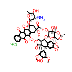 CC(=O)[C@]1(O)Cc2c(O)c3c(c(O)c2[C@@H](O[C@H]2C[C@H](N)[C@H](O)[C@H](C)O2)C1)C(=O)c1ccccc1C3=O.COc1cc([C@@H]2c3cc4c(cc3C(O[C@@H]3O[C@@H]5CO[C@@H](C)O[C@H]5[C@H](O)[C@H]3O)C3COC(=O)[C@@H]32)OCO4)cc(OC)c1O.Cl